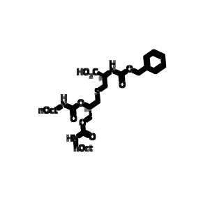 CCCCCCCCNC(=O)OC[C@@H](CSC[C@H](NC(=O)OCc1ccccc1)C(=O)O)OC(=O)NCCCCCCCC